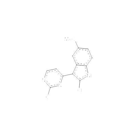 COc1ccc2[nH]c(C)c(-c3ccnc(Cl)n3)c2c1